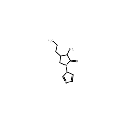 CCCC1CN(n2ccnc2)C(=O)C1C